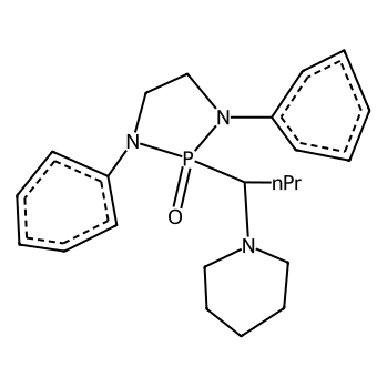 CCCC(N1CCCCC1)P1(=O)N(c2ccccc2)CCN1c1ccccc1